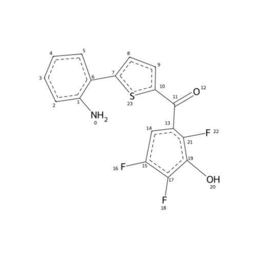 Nc1ccccc1-c1ccc(C(=O)c2cc(F)c(F)c(O)c2F)s1